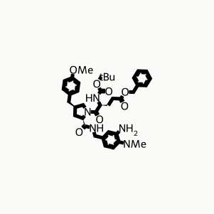 CNc1ccc(CNC(=O)[C@@H]2C[C@@H](Cc3ccc(OC)cc3)CN2C(=O)[C@@H](CCC(=O)OCc2ccccc2)NC(=O)OC(C)(C)C)cc1N